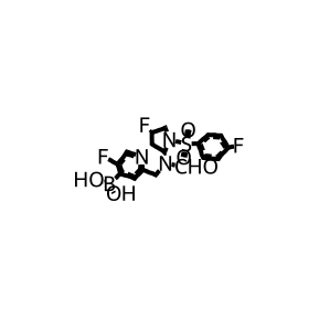 O=CN(Cc1cc(B(O)O)c(F)cn1)[C@@H]1C[C@@H](F)CN1S(=O)(=O)c1ccc(F)cc1